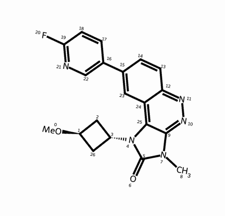 CO[C@H]1C[C@H](n2c(=O)n(C)c3nnc4ccc(-c5ccc(F)nc5)cc4c32)C1